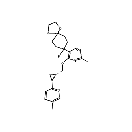 Cc1ccc(C2C[C@@H]2COc2nc(C)ncc2C2(F)CCC3(CC2)OCCO3)nc1